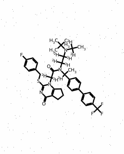 [2H]C([2H])(C)N(C(C)(C)C)C([2H])([2H])C([2H])([2H])N(C(=O)C([2H])([2H])n1c(SCc2ccc(F)cc2)nc(=O)c2c1CCC2)C([2H])(C)c1ccc(-c2ccc(C(F)(F)F)cc2)cc1